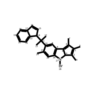 CC1=C(C)C2C(=C1C)c1cc(C(C)(C)C3C=Cc4ccccc43)c(C)cc1N2Br